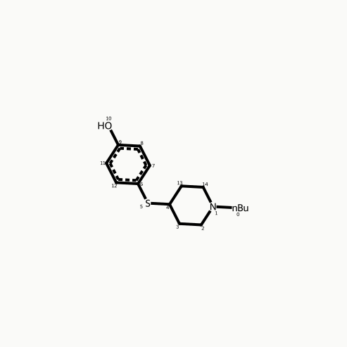 CCCCN1CCC(Sc2ccc(O)cc2)CC1